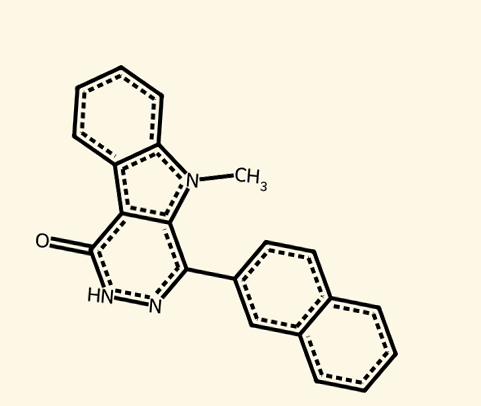 Cn1c2ccccc2c2c(=O)[nH]nc(-c3ccc4ccccc4c3)c21